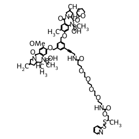 C=C1C[C@H]2[C@H](C)N(B(C)O)c3cc(OCc4cc(C#CCNC(=O)CCOCCOCCOCCOCCNC(=O)OC[C@@H](C)SSc5ccccn5)cc(COc5cc6c(cc5C)C(=O)N5CC(=C)C[C@H]5[C@H](OC5CCCCO5)N6B(C)O)c4)c(OC)cc3C(=O)N2C1